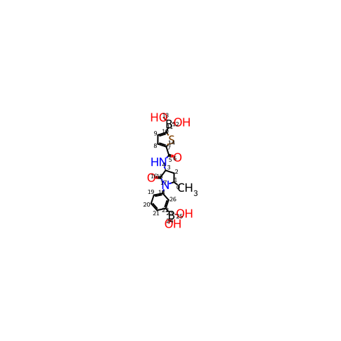 CC1C[C@H](NC(=O)c2ccc(B(O)O)s2)C(=O)N1c1cccc(B(O)O)c1